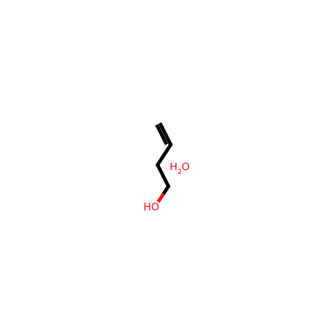 C=CCCO.O